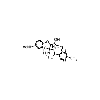 CC(=O)Nc1ccc(OC(C(C)O)C(C)(N)CC(O)c2cnc(C)nc2C)cc1